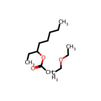 CCCCCC(CC)OC(C)=O.CCOCC